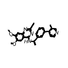 COc1cc2nc(C)nc(NC(C)c3cccc(-c4ccncc4C)c3)c2cc1OC